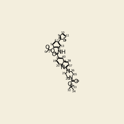 CC(=O)Oc1ccc(-c2cccs2)cc1NC(=O)c1ccc2nc(N3CCN(C(=O)OC(C)(C)C)CC3)ccc2c1